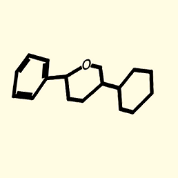 c1ccc(C2CCC(C3CCCCC3)CO2)cc1